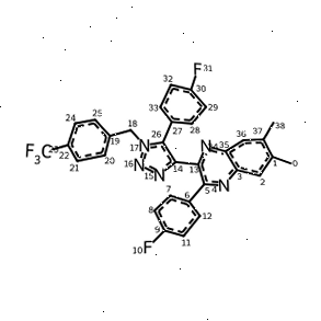 Cc1cc2nc(-c3ccc(F)cc3)c(-c3nnn(Cc4ccc(C(F)(F)F)cc4)c3-c3ccc(F)cc3)nc2cc1C